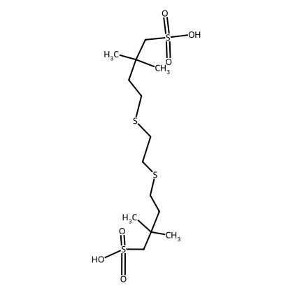 CC(C)(CCSCCSCCC(C)(C)CS(=O)(=O)O)CS(=O)(=O)O